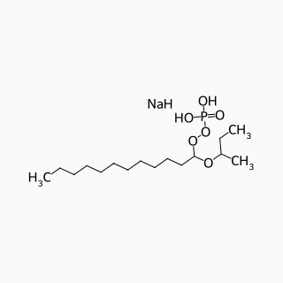 CCCCCCCCCCCC(OOP(=O)(O)O)OC(C)CC.[NaH]